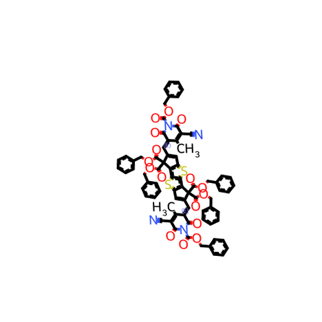 CC1=C(C#N)C(=O)N(C(=O)OCc2ccccc2)C(=O)/C1=C/C1=Cc2sc3c4c(sc3c2C1(C(=O)OCc1ccccc1)C(=O)OCc1ccccc1)C=C(/C=C1/C(=O)N(C(=O)OCc2ccccc2)C(=O)C(C#N)=C1C)C4(C(=O)OCc1ccccc1)C(=O)OCc1ccccc1